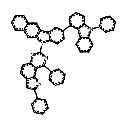 c1ccc(-c2cc3ccc4nc(-n5c6ccc(-c7cccc8c7c7ccccc7n8-c7ccccc7)cc6c6cc7ccccc7cc65)nc(-c5ccccc5)c4c3s2)cc1